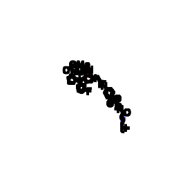 COC(=O)N[C@H]1CCC[C@@H]1[C@](Cn1ccnn1)(c1cccc(F)c1)C1CCN(CC2CN(c3ccc(S(=O)(=O)C4CN(C(=O)/C=C/CN(C)C)C4)cc3)C2)CC1